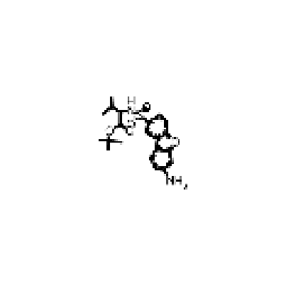 CC(C)C(NS(=O)(=O)c1ccc2oc3cc(N)ccc3c2c1)C(=O)OC(C)(C)C